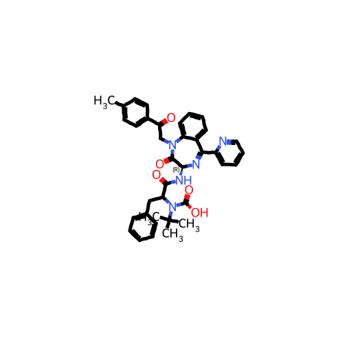 Cc1ccc(C(=O)CN2C(=O)[C@H](NC(=O)C(Cc3ccccc3)N(C(=O)O)C(C)(C)C)N=C(c3ccccn3)c3ccccc32)cc1